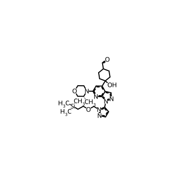 C[C@@H]1COCCN1c1cc(C2(O)CCC(C=O)CC2)c2cnn(-c3ccnn3COCC[Si](C)(C)C)c2n1